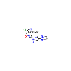 COc1cc([C@@H](C)C(=O)N2CC[C@H](Nc3ccc(-c4nc5ccccn5n4)c(C)n3)C2)c(Cl)cn1